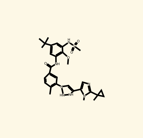 COc1c(NC(=O)c2ccc(C)c(N3C=C(c4cnc(C5(C)CC5)n4C)NN3)c2)cc(C(C)(C)C)cc1NS(C)(=O)=O